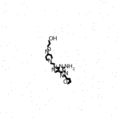 Nc1nc2c(cnn2CCN2CCC(=NOCCCO)CC2)c2nc(-c3ccco3)nn12